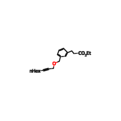 CCCCCCC#CCOCc1cccc(CCC(=O)OCC)c1